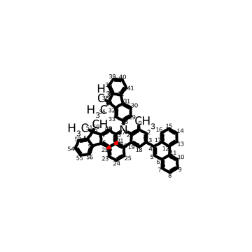 Cc1cc(-c2cc3ccccc3c3ccccc23)cc(-c2ccccc2)c1N(c1ccc2c(c1)C(C)(C)c1ccccc1-2)c1ccc2c(c1)C(C)(C)c1ccccc1-2